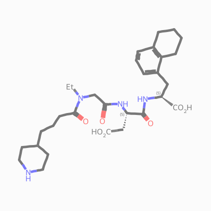 CCN(CC(=O)N[C@@H](CC(=O)O)C(=O)N[C@@H](Cc1cccc2c1CCCC2)C(=O)O)C(=O)CCCC1CCNCC1